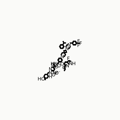 CCOc1nc2[nH]cc(F)c2cc1Oc1cc(N2CCC3(CC2)CC(N2CCN(Cc4ccc(C(F)(F)F)cc4)C[C@H]2c2ccccc2C(C)C)C3)ccc1C(=O)NS(=O)(=O)c1cnc(NCC2CCC(C)(O)CC2)c([N+](=O)[O-])c1